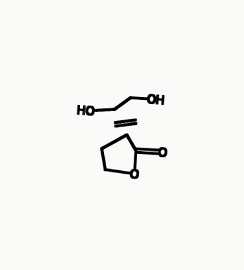 C=C.O=C1CCCO1.OCCO